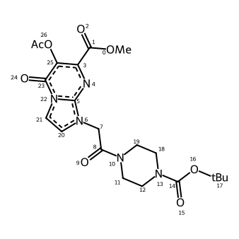 COC(=O)c1nc2n(CC(=O)N3CCN(C(=O)OC(C)(C)C)CC3)ccn2c(=O)c1OC(C)=O